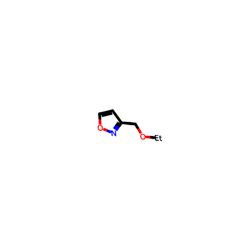 CCOCc1ccon1